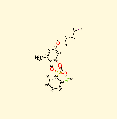 Cc1cc(OCCCCI)cc(OS(=O)(=O)c2ccccc2F)c1